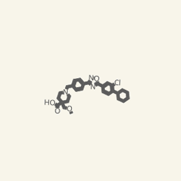 COCC1(C(=O)O)CCN(Cc2ccc(-c3noc(-c4ccc(C5CCCCC5)c(Cl)c4)n3)cc2)CC1